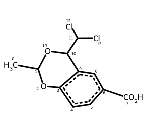 CC1Oc2ccc(C(=O)O)cc2C(C(Cl)Cl)O1